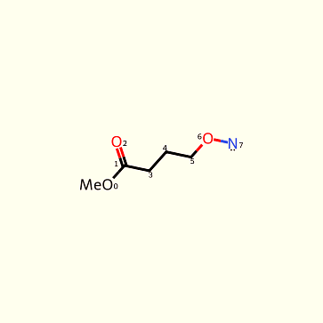 COC(=O)CCCO[N]